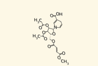 COC(=O)/C=C/C(=O)OC[C@H]1O[C@@H](N2C=CCC(C(=O)O)=C2)[C@H](OC(C)=O)[C@@H]1OC(C)=O